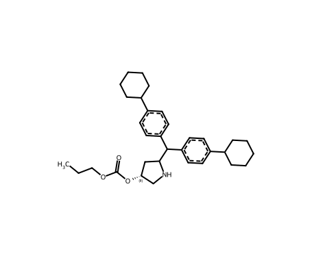 CCCOC(=O)O[C@H]1CNC(C(c2ccc(C3CCCCC3)cc2)c2ccc(C3CCCCC3)cc2)C1